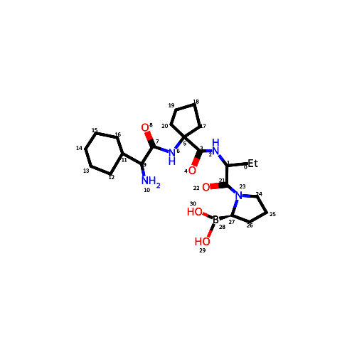 CCC(NC(=O)C1(NC(=O)C(N)C2CCCCC2)CCCC1)C(=O)N1CCC[C@H]1B(O)O